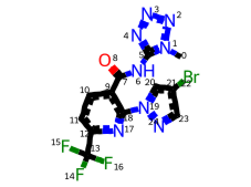 Cn1nnnc1NC(=O)c1ccc(C(F)(F)F)nc1-n1cc(Br)cn1